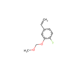 C=Cc1ccc(F)c(OCOC)c1